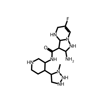 CN1NNCC1C1CCNCC1NC(=O)C1C(N)NN2C=C(F)CNC12